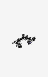 C=N/C(=N\C(=C/C)c1cc(C(=O)NCC(=O)NCC(=O)N[C@@H](Cc2ccccc2)C(=O)NCC(=O)NCOCC(=O)N[C@H]2CCc3c(C)c(Cl)cc4nc5c(c2c34)Cn2c-5cc3c(c2=O)COC(=O)[C@]3(O)CC)cc(-c2ccnc([SH](C)(=O)C=O)n2)n1)S(C)(=O)=O